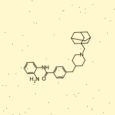 Nc1ccccc1NC(=O)c1ccc(CC2CCN(CC34CC5CC(CC(C5)C3)C4)CC2)cc1